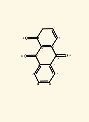 O=C1CC=CC2=C1C(=O)c1ccccc1C2=O